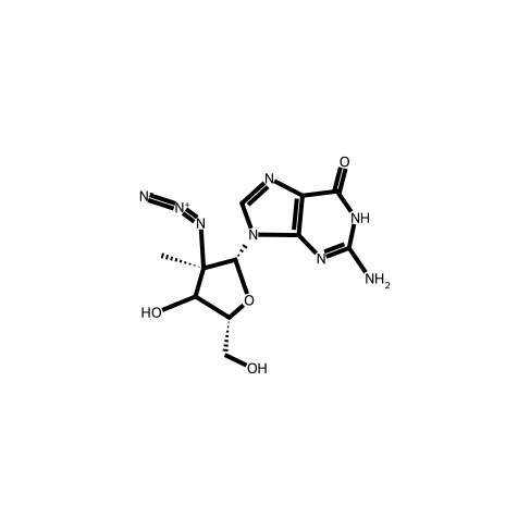 C[C@@]1(N=[N+]=[N-])C(O)[C@@H](CO)O[C@H]1n1cnc2c(=O)[nH]c(N)nc21